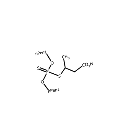 CCCCCOP(=S)(OCCCCC)SC(C)CC(=O)O